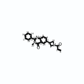 C=CC(=O)N1CC(c2ccc3nc(-c4ccccc4)n(C)c(=O)c3c2)C1